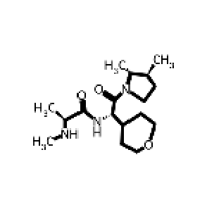 CN[C@@H](C)C(=O)N[C@H](C(=O)N1CC[C@H](C)[C@H]1C)C1CCOCC1